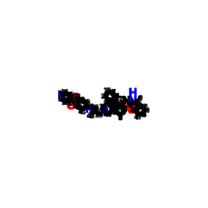 C[C@H](NC(=O)O[C@@H]1CCC[C@H]1[C@@](C#N)(c1ccccc1)C1CCN(CC2CN(c3ccc(S(=O)(=O)c4ccncc4)cc3)C2)CC1)c1ccccc1